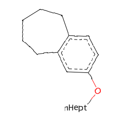 CCCCCCCOc1ccc2c(c1)CCCCC2